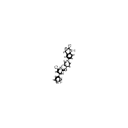 Cn1c(OC2CCN(c3ccc4c(c3)COC(=O)N4)CC2)nc(-c2ccncn2)cc1=O